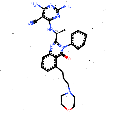 C[C@H](Nc1nc(N)nc(N)c1C#N)c1nc2cccc(CCCN3CCOCC3)c2c(=O)n1-c1ccccc1